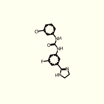 O=C(Nc1cccc(Cl)c1)Nc1cc(F)cc(C2=NCCN2)c1